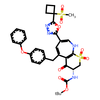 CC(C)(C)OC(=O)N[C@H]1CS(=O)(=O)C2=C(C1=O)C(Cc1ccc(Oc3ccccc3)cc1)=CC(c1nnc(C3(S(C)(=O)=O)CCC3)o1)=CN2